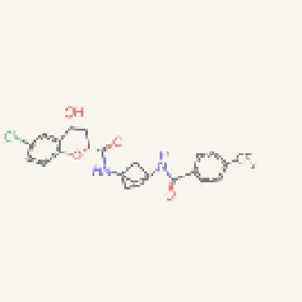 O=C(NC12CCC(NC(=O)[C@H]3C[C@@H](O)c4cc(Cl)ccc4O3)(C1)C2)c1ccc(C(F)(F)F)cc1